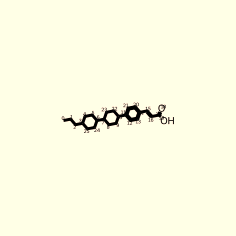 CCCC1CCC(C2CCC(c3ccc(C=CC(=O)O)cc3)CC2)CC1